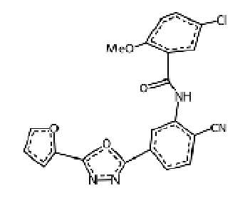 COc1ccc(Cl)cc1C(=O)Nc1cc(-c2nnc(-c3ccco3)o2)ccc1C#N